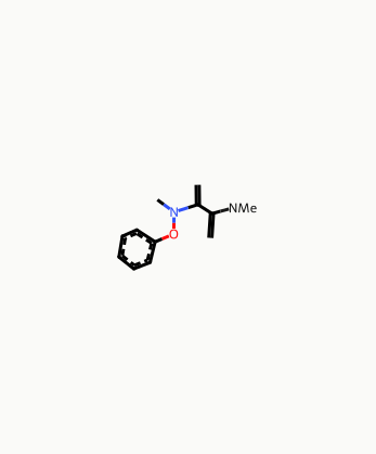 C=C(NC)C(=C)N(C)Oc1ccccc1